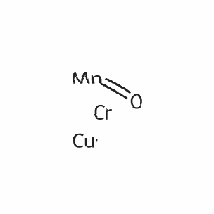 [Cr].[Cu].[O]=[Mn]